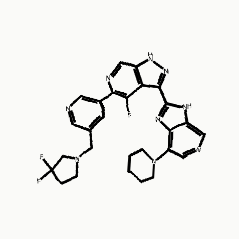 Fc1c(-c2cncc(CN3CCC(F)(F)C3)c2)ncc2[nH]nc(-c3nc4c(N5CCCCC5)cncc4[nH]3)c12